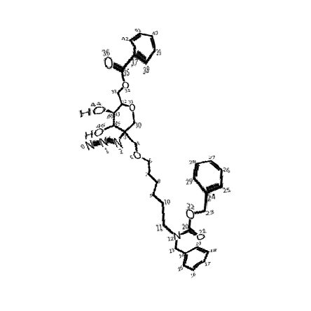 [N-]=[N+]=NC1(COCCCCCCN(Cc2ccccc2)C(=O)OCc2ccccc2)COC(COC(=O)c2ccccc2)[C@H](O)C1O